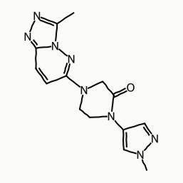 Cc1nnc2ccc(N3CCN(c4cnn(C)c4)C(=O)C3)nn12